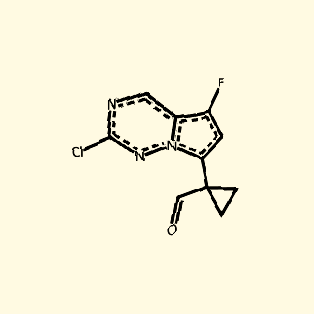 O=CC1(c2cc(F)c3cnc(Cl)nn23)CC1